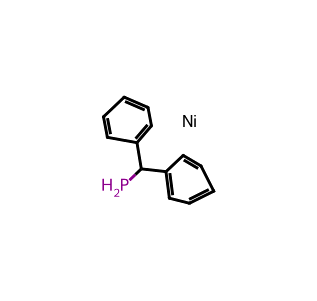 PC(c1ccccc1)c1ccccc1.[Ni]